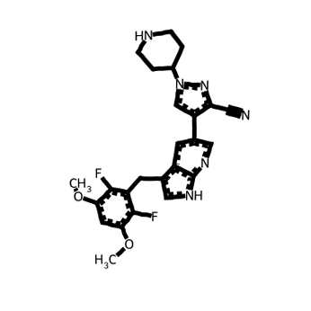 COc1cc(OC)c(F)c(Cc2c[nH]c3ncc(-c4cn(C5CCNCC5)nc4C#N)cc23)c1F